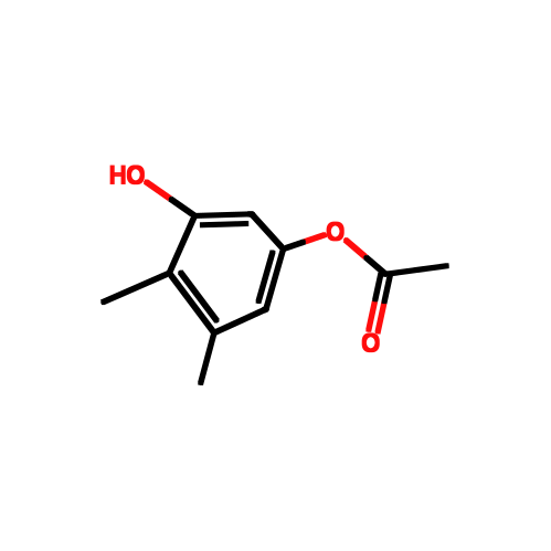 CC(=O)Oc1cc(C)c(C)c(O)c1